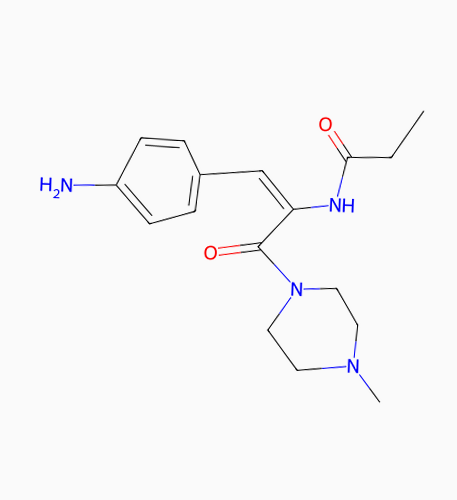 CCC(=O)N/C(=C/c1ccc(N)cc1)C(=O)N1CCN(C)CC1